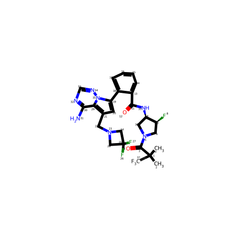 CC(C)(C(=O)N1C[C@H](F)[C@H](NC(=O)c2ccccc2-c2cc(CN3CC(F)(F)C3)c3c(N)ncnn23)C1)C(F)(F)F